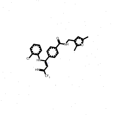 Cc1cc(CNC(=O)c2ccc(/C(=C/C(=N)C(F)(F)F)Nc3ccccc3Cl)cc2)c(C)o1